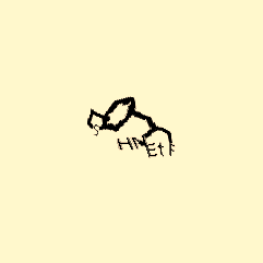 CCNC(CF)Cc1ccc2c(c1)SCC2